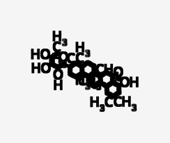 CC1O[C@@H](C2CC[C@@]3(C)C(CC[C@]4(C)C3CC=C3C5CC(C)(C)CC[C@]5(C(=O)O)CC[C@]34C)C2(C)C)C(O)C(O)[C@@H]1O